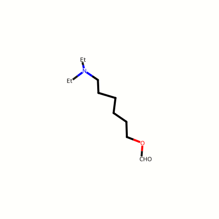 CCN(CC)CCCCCCOC=O